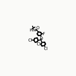 CC(C)(C)NC(=O)c1ccc(OC(c2ccc(Cl)cc2)c2ccc(Cl)cc2Cl)c(F)c1